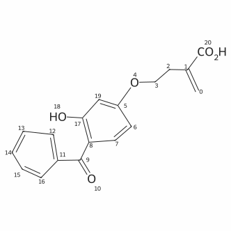 C=C(CCOc1ccc(C(=O)c2ccccc2)c(O)c1)C(=O)O